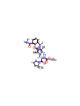 C[C@H](c1cccc(C(=O)N(C)C)c1)N1C(=O)[C@@H]2C[C@H]1CN2C[C@H](NC(=O)OC(C)(C)C)C(=O)N1CCC[C@H]1C#N